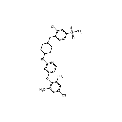 Cc1cc(C#N)cc(C)c1Oc1ccnc(NC2CCN(Cc3ccc(S(N)(=O)=O)cc3Cl)CC2)n1